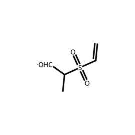 C=CS(=O)(=O)C(C)[C]=O